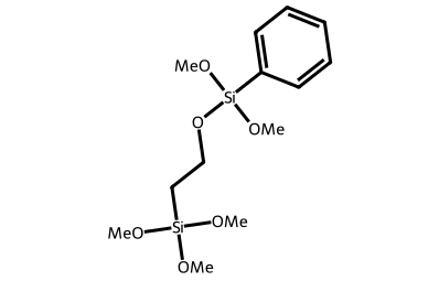 CO[Si](CCO[Si](OC)(OC)c1ccccc1)(OC)OC